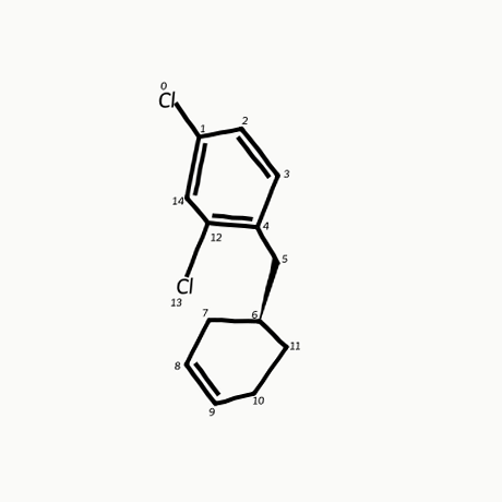 Clc1ccc(C[C@@H]2CC=CCC2)c(Cl)c1